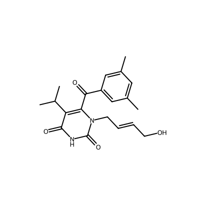 Cc1cc(C)cc(C(=O)c2c(C(C)C)c(=O)[nH]c(=O)n2C/C=C/CO)c1